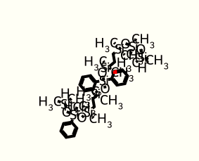 C[SiH](C)O[Si](C)(C)O[Si](C)(C)CC[Si](C)(C)O[Si](O[Si](C)(C)CC[Si](C)(C)O[Si](C)(O[SiH](C)C)c1ccccc1)(c1ccccc1)c1ccccc1